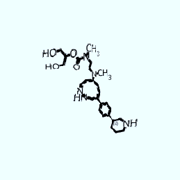 CN(CCN(C)c1ccn[nH]cc(-c2ccc([C@@H]3CCCNC3)cc2)cc1)C(=O)OC(CO)CO